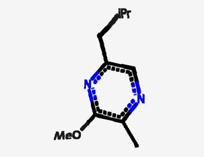 COc1nc(CC(C)C)cnc1C